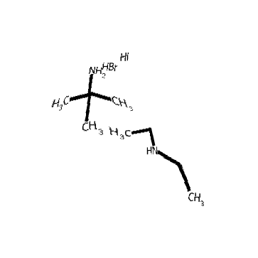 Br.CC(C)(C)N.CCNCC.I